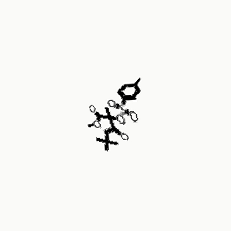 COC(=O)C(C)(OS(=O)(=O)c1ccc(C)cc1)C(=O)CC(C)(C)C